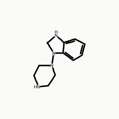 c1ccc2c(c1)NCN2N1CCNCC1